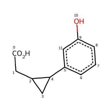 O=C(O)CC1CC1c1cccc(O)c1